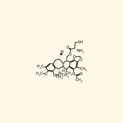 COc1c(C)cc2c(c1O)[C@@H](N(C)C)[C@@H]1[C@H](C)c3c(OC(C)=O)c(C)c4c(c3[C@H](COC(=O)[C@@H](N)CS)N1[C@@H](C#N)C2)OCO4